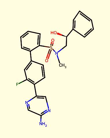 CN(C[C@@H](O)c1ccccc1)S(=O)(=O)c1ccccc1-c1ccc(-c2cnc(N)cn2)c(F)c1